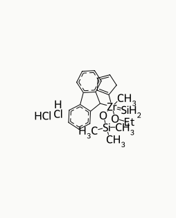 CC[O][Zr]([CH3])(=[SiH2])([O][Si](C)(C)C)([C]1=CC=CC1)[CH]1c2ccccc2-c2ccccc21.Cl.Cl